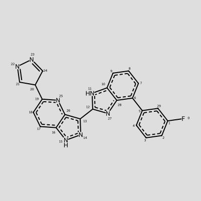 Fc1cccc(-c2cccc3[nH]c(-c4n[nH]c5ccc(C6C=NN=C6)nc45)nc23)c1